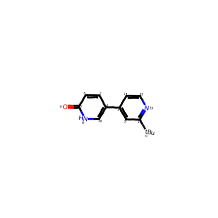 CC(C)(C)c1cc(-c2ccc(=O)[nH]c2)ccn1